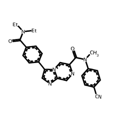 CCN(CC)C(=O)c1ccc(-c2cnc3cnc(C(=O)N(C)c4ccc(C#N)cc4)cn23)cc1